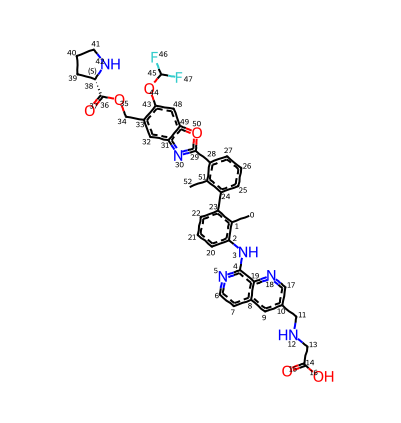 Cc1c(Nc2nccc3cc(CNCC(=O)O)cnc23)cccc1-c1cccc(-c2nc3cc(COC(=O)[C@@H]4CCCN4)c(OC(F)F)cc3o2)c1C